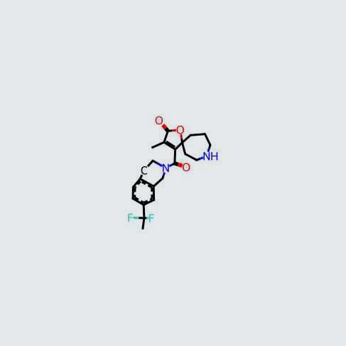 CC1=C(C(=O)N2CCc3ccc(C(C)(F)F)cc3C2)C2(CCCNCC2)OC1=O